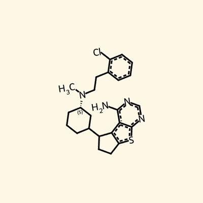 CN(CCc1ccccc1Cl)[C@H]1CCCC(C2CCc3sc4ncnc(N)c4c32)C1